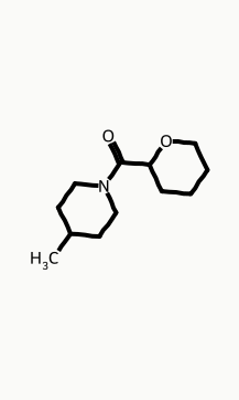 CC1CCN(C(=O)C2CCCCO2)CC1